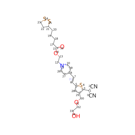 N#CC(C#N)c1sc(/C=C/c2cc[n+](CCOC(=O)CCCCC3CCSS3)cc2)cc1COCCO